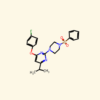 CC(C)c1cc(Oc2ccc(F)cc2)nc(N2CCN(S(=O)(=O)c3ccccc3)CC2)n1